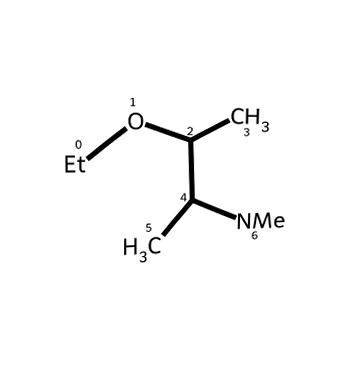 CCOC(C)C(C)NC